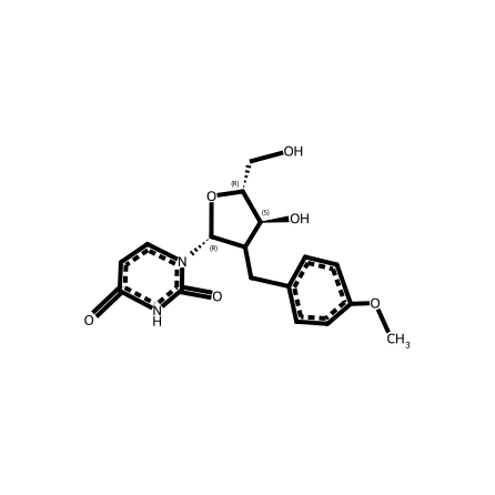 COc1ccc(CC2[C@H](n3ccc(=O)[nH]c3=O)O[C@H](CO)[C@H]2O)cc1